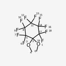 COC1(OC)C(F)(F)C(F)(F)C(F)(F)C(F)(F)C1(F)F